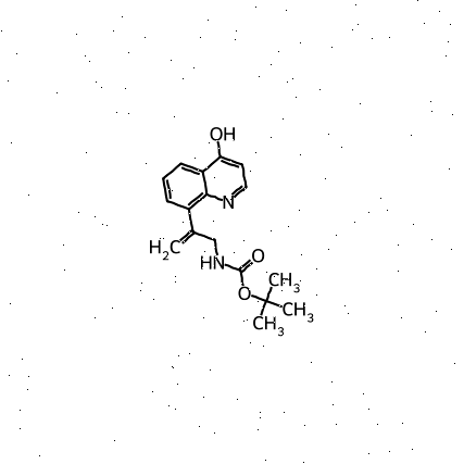 C=C(CNC(=O)OC(C)(C)C)c1cccc2c(O)ccnc12